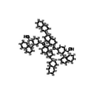 OCc1ccc(Oc2ccc3cc(-c4ccc5ccccc5c4)ccc3c2-c2c(Oc3ccc(CO)c(-c4cccc5ccccc45)c3)ccc3cc(-c4ccc5ccccc5c4)ccc23)cc1-c1cccc2ccccc12